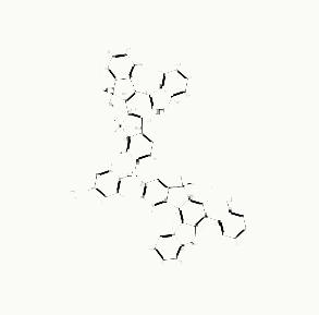 Cc1ccc(N(c2ccc3c(c2)C(C)(C)c2cc(-c4ccccc4C)c4oc5ccccc5c4c2-3)c2ccc3c(c2)C(C)(C)c2c4c(c5c(oc6ccccc65)c2-3)-c2ccccc2C4(C)C)cc1